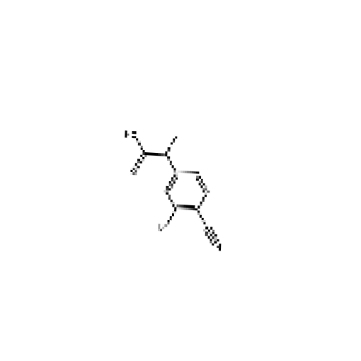 CC(C(=O)O)c1ccc(C#N)c(Br)c1